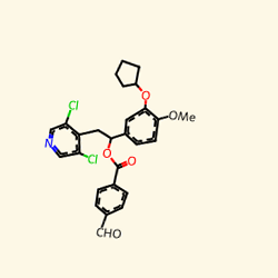 COc1ccc(C(Cc2c(Cl)cncc2Cl)OC(=O)c2ccc(C=O)cc2)cc1OC1CCCC1